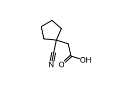 N#CC1(CC(=O)O)CCCC1